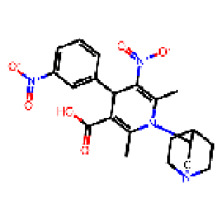 CC1=C(C(=O)O)C(c2cccc([N+](=O)[O-])c2)C([N+](=O)[O-])=C(C)N1C1CN2CCC1CC2